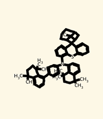 CC1(C)CCC(C)(C)c2c(-c3ccc(N(c4cccc5c4Sc4ccccc4C54C5CC6CC7CC4C75C6)c4cccc5c4C(C)(C)CCC5(C)C)cc3)cccc21